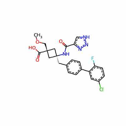 COC[C@]1(C(=O)O)C[C@](Cc2ccc(-c3cc(Cl)ccc3F)cc2)(NC(=O)c2c[nH]nn2)C1